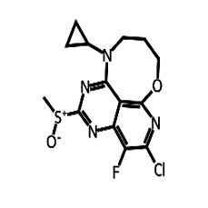 C[S+]([O-])c1nc2c3c(nc(Cl)c(F)c3n1)OCCCN2C1CC1